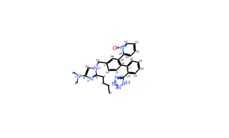 CCCCc1nc(N(C)C)cn1Cc1ccc(-c2ccccc2-c2nnn[nH]2)c(-c2cccc[n+]2[O-])c1